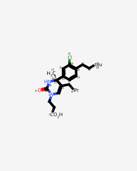 CC(C)CC1=CN(CCC(=O)O)C(=O)N[C@@]1(C)c1ccc(CCC(C)(C)C)c(Cl)c1